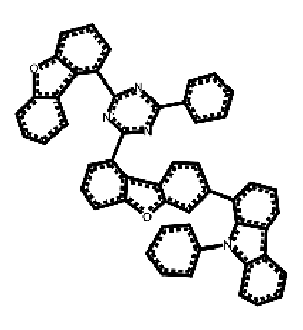 c1ccc(-c2nc(-c3cccc4oc5ccccc5c34)nc(-c3cccc4oc5cc(-c6cccc7c8ccccc8n(-c8ccccc8)c67)ccc5c34)n2)cc1